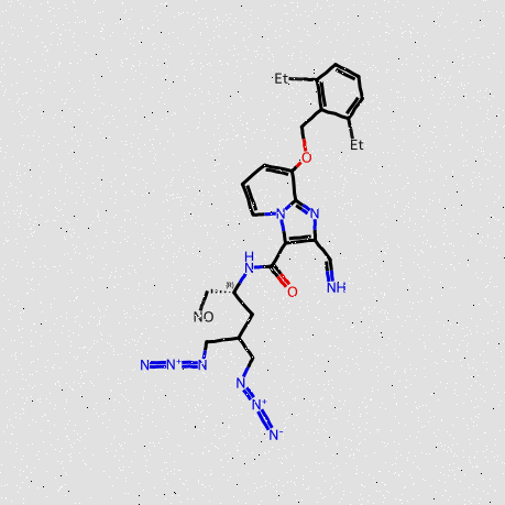 CCc1cccc(CC)c1COc1cccn2c(C(=O)N[C@@H](CN=O)CC(CN=[N+]=[N-])CN=[N+]=[N-])c(C=N)nc12